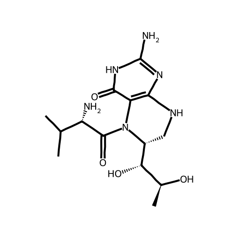 CC(C)[C@H](N)C(=O)N1c2c(nc(N)[nH]c2=O)NC[C@@H]1[C@@H](O)[C@H](C)O